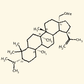 C=C(C)[C@@H]1CC[C@]2(COC)CC[C@]3(C)C(CCC4[C@@]5(C)CC[C@H](N(C)C)C(C)(C)C5CC[C@]43C)C12